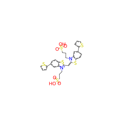 O=S(=O)(O)CCCN1C(=Cc2sc3ccc(-c4cccs4)cc3[n+]2CCCS(=O)(=O)O)Sc2ccc(-c3cccs3)cc21